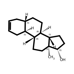 C[C@]12CC[C@H]3[C@@H](CC[C@H]4CC=CC[C@@H]43)[C@@H]1CC[C@@H]2O